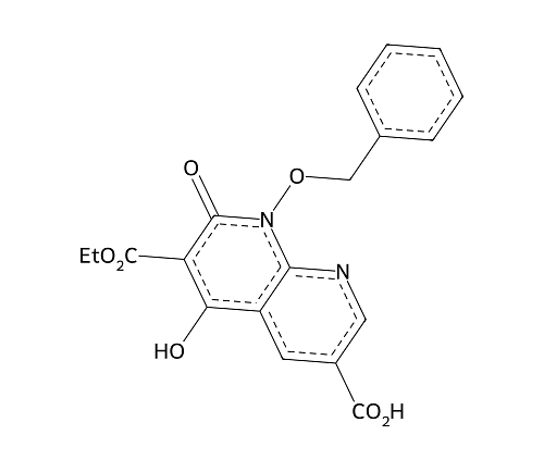 CCOC(=O)c1c(O)c2cc(C(=O)O)cnc2n(OCc2ccccc2)c1=O